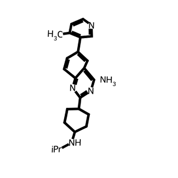 Cc1ccncc1-c1ccc2nc(C3CCC(NC(C)C)CC3)ncc2c1.N